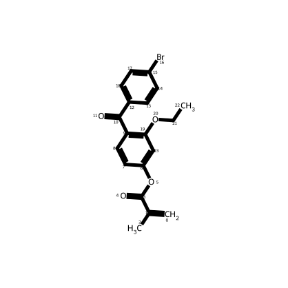 C=C(C)C(=O)Oc1ccc(C(=O)c2ccc(Br)cc2)c(OCC)c1